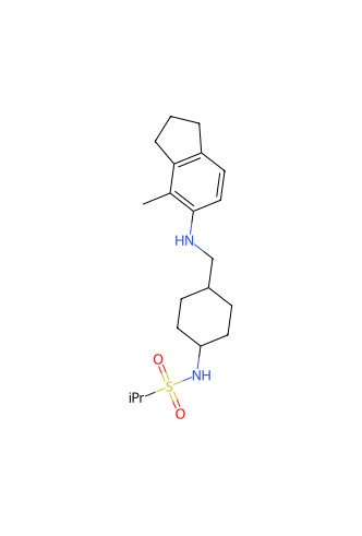 Cc1c(NCC2CCC(NS(=O)(=O)C(C)C)CC2)ccc2c1CCC2